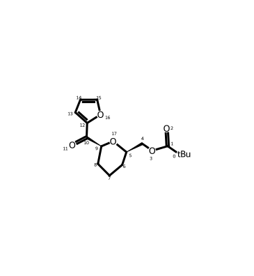 CC(C)(C)C(=O)OC[C@H]1CCC[C@@H](C(=O)c2ccco2)O1